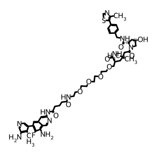 Cc1ncsc1-c1ccc(CNC(=O)[C@@H]2C[C@@H](O)CN2C(=O)CC(C)(C)CC(COCCOCCOCCOCCNC(=O)CCCC(=O)Nc2cc3cc(-c4cncc(N)c4C)c(F)c(N)c3cn2)C(N)=O)cc1